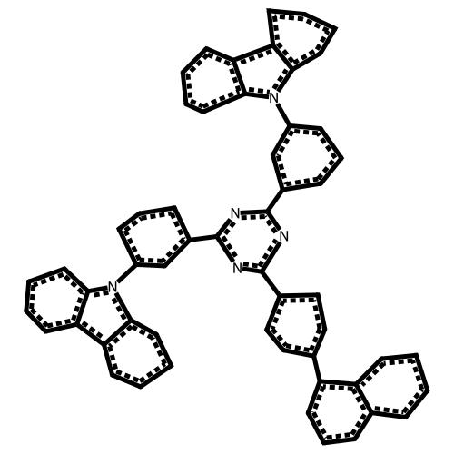 c1cc(-c2nc(-c3ccc(-c4cccc5ccccc45)cc3)nc(-c3cccc(-n4c5ccccc5c5ccccc54)c3)n2)cc(-n2c3ccccc3c3ccccc32)c1